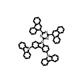 c1ccc2c(c1)cc(-c1nc(-c3cc4ccccc4c4ccccc34)nc(-n3c4ccc(-n5c6ccccc6c6ccccc65)cc4c4cc(-n5c6ccccc6c6ccccc65)ccc43)n1)c1ccccc12